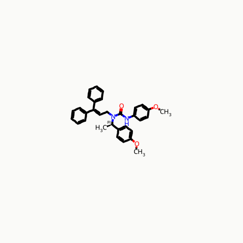 COc1ccc(NC(=O)N(CC=C(c2ccccc2)c2ccccc2)[C@H](C)c2ccc(OC)cc2)cc1